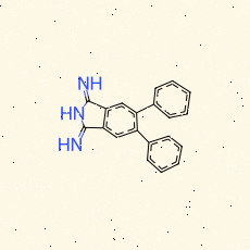 N=C1NC(=N)c2cc(-c3ccccc3)c(-c3ccccc3)cc21